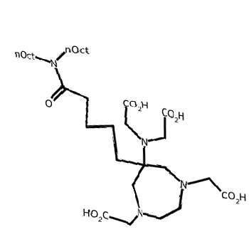 CCCCCCCCN(CCCCCCCC)C(=O)CCCCC1(N(CC(=O)O)CC(=O)O)CN(CC(=O)O)CCN(CC(=O)O)C1